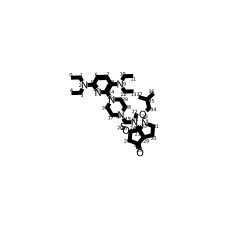 CCN(CC)c1ccc(N(CC)CC)c(N2CCN(C(=S)N(C)C34C(=O)CC(=O)C3CCN4OCC(C)C)CC2)n1